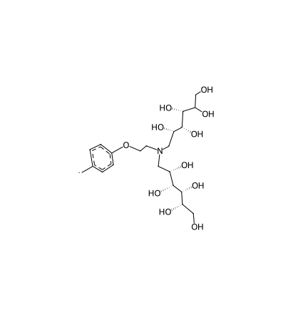 [CH2]c1ccc(OCCN(C[C@H](O)[C@@H](O)[C@H](O)[C@@H](O)CO)C[C@H](O)[C@@H](O)[C@H](O)C(O)CO)cc1